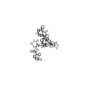 CC(C)(C)OC(=O)NCC1CCCCN1C[C@H]1O[C@@H](n2ccc3c(Cl)ncnc32)[C@@H]2OC(C)(C)O[C@@H]21